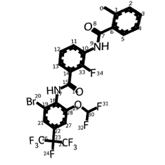 Cc1ccccc1C(=O)Nc1cccc(C(=O)Nc2c(Br)cc(C(F)(C(F)(F)F)C(F)(F)F)cc2OC(F)F)c1F